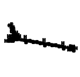 O=C(CCCC[C@H]1SC[C@H]2NC(=O)N[C@H]21)NCCOCCOCCOCCOCCC(=O)NCCOCCOCCOCCOCCC(=O)NCCCCCCO[C@]1(C(=O)O)C[C@H](O)[C@@H](NC(=O)CO)[C@H]([C@H](O)[C@H](O)CNC(=O)Cc2ccc(C(F)F)cc2)O1